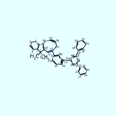 CC1(C)C2=C(CCC=C2)C2=C1/C=C(/c1cccc(-c3nc(-c4ccccc4)nc(-c4ccccc4)n3)c1)CC#CC2